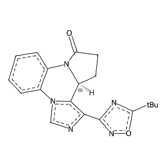 CC(C)(C)c1nc(-c2ncn3c2[C@@H]2CCC(=O)N2c2ccccc2-3)no1